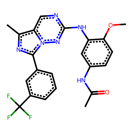 COc1ccc(NC(C)=O)cc1Nc1ncc2c(C)nc(-c3cccc(C(F)(F)F)c3)n2n1